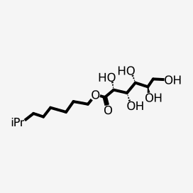 CC(C)CCCCCCOC(=O)[C@H](O)[C@@H](O)[C@H](O)[C@H](O)CO